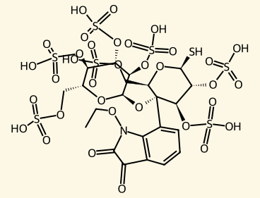 CCON1C(=O)C(=O)c2cccc([C@]3(O[C@H]4O[C@H](COS(=O)(=O)O)[C@@H](OS(=O)(=O)O)[C@H](OS(=O)(=O)O)[C@H]4OS(=O)(=O)O)[C@H](OS(=O)(=O)O)[C@@H](OS(=O)(=O)O)[C@H](S)O[C@@H]3COS(=O)(=O)O)c21